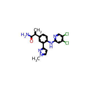 C=C(C(N)=O)c1ccc(Nc2cc(Cl)c(Cl)cn2)c(-c2ccn(C)n2)c1